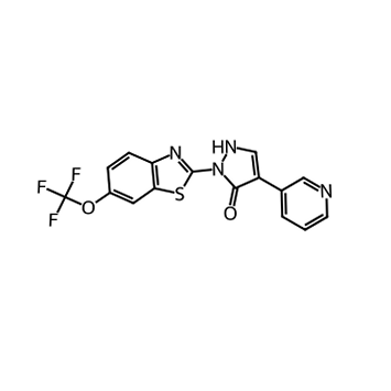 O=c1c(-c2cccnc2)c[nH]n1-c1nc2ccc(OC(F)(F)F)cc2s1